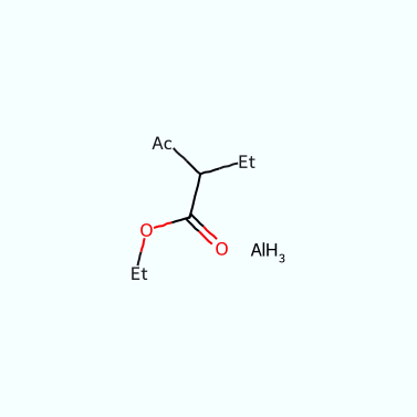 CCOC(=O)C(CC)C(C)=O.[AlH3]